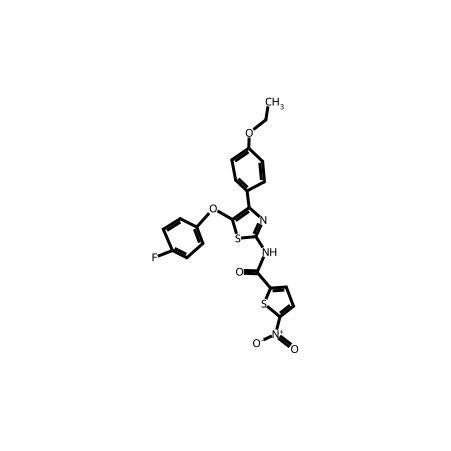 CCOc1ccc(-c2nc(NC(=O)c3ccc([N+](=O)[O-])s3)sc2Oc2ccc(F)cc2)cc1